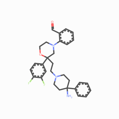 NC1(c2ccccc2)CCN(CCC2(c3ccc(F)c(F)c3)CN(c3ccccc3C=O)CCO2)CC1